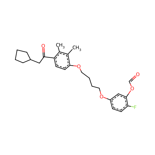 Cc1c(OCCCCOc2ccc(F)c(OC=O)c2)ccc(C(=O)CC2CCCC2)c1C